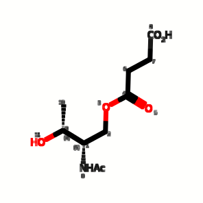 CC(=O)N[C@@H](COC(=O)CCC(=O)O)[C@@H](C)O